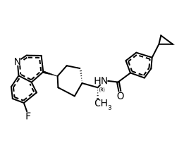 C[C@@H](NC(=O)c1ccc(C2CC2)cc1)[C@H]1CC[C@H](c2ccnc3ccc(F)cc32)CC1